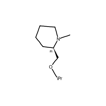 CC(C)OC[C@H]1CCCCN1C